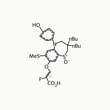 CCCCC1(CCCC)CN(c2ccc(O)cc2)c2cc(SC)c(O/C=C(\F)C(=O)O)cc2[S+]([O-])C1